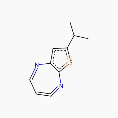 CC(C)c1cc2c(s1)N=C=CC=N2